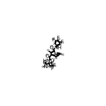 CNC(=O)C1(NC(=O)C(=O)c2c(C)c(C(=O)Nc3cc(F)c(F)c(F)c3)n3c2CC2C3[C@@H]2C)CC(F)(F)C1